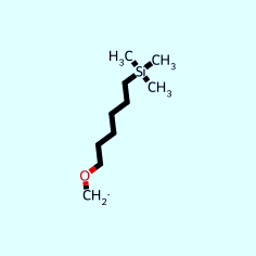 [CH2]OCCCCCC[Si](C)(C)C